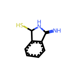 N=C1NC(S)c2ccccc21